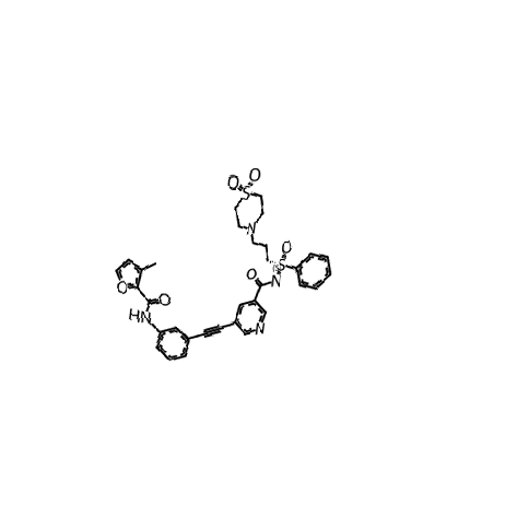 Cc1ccoc1C(=O)Nc1cccc(C#Cc2cncc(C(=O)N=[S@](=O)(CCCN3CCS(=O)(=O)CC3)c3ccccc3)c2)c1